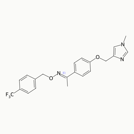 C/C(=N\OCc1ccc(C(F)(F)F)cc1)c1ccc(OCc2cn(C)cn2)cc1